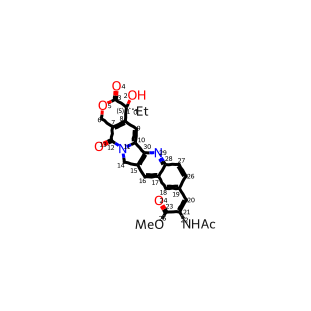 CC[C@@]1(O)C(=O)OCc2c1cc1n(c2=O)Cc2cc3cc(C=C(NC(C)=O)C(=O)OC)ccc3nc2-1